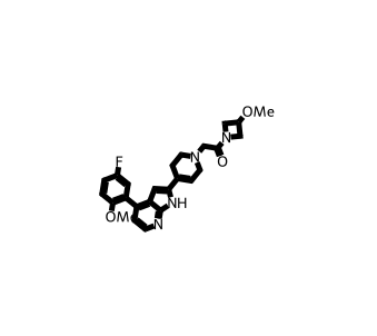 COc1ccc(F)cc1-c1ccnc2[nH]c(C3=CCN(CC(=O)N4CC(OC)C4)CC3)cc12